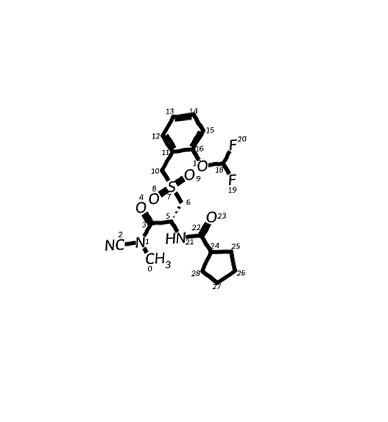 CN(C#N)C(=O)[C@H](CS(=O)(=O)Cc1ccccc1OC(F)F)NC(=O)C1CCCC1